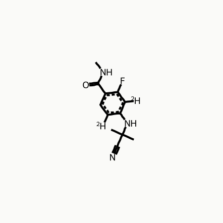 [2H]c1cc(C(=O)NC)c(F)c([2H])c1NC(C)(C)C#N